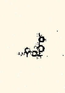 Nc1ncnc(N2CCC(C(F)(F)F)[C@H](N3CC=CC[C@@H](Nc4cc(F)cc(Cl)c4)C3=O)C2)c1F